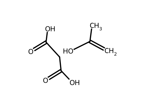 C=C(C)O.O=C(O)CC(=O)O